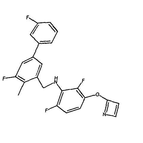 Cc1c(F)cc(-c2cccc(F)c2)cc1CNc1c(F)ccc(OC2=NC=C2)c1F